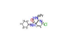 CCCNc1nc(Cl)ccc1C(=O)NC1CCCCC1